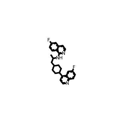 CC(CC1CCC(c2ccnc3ccc(F)cc23)CC1)Nc1nccc2cc(F)ccc12